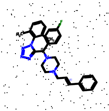 Cc1cccc(C)c1-n1nnnc1[C@@H](c1ccc(F)cc1)N1CCN(C/C=C/c2ccccc2)CC1